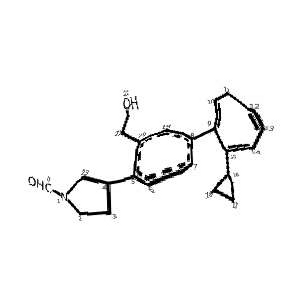 O=CN1CCC(c2ccc(C3=CCC=CC=C3C3CC3)cc2CO)C1